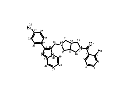 O=C(c1ccccc1F)N1CC2CN(Cc3c(-c4ccc(Br)cc4)nc4ccccn34)CC2C1